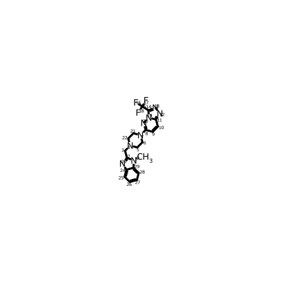 Cn1c(CN2CCN(c3ccc4nnc(C(F)(F)F)n4n3)CC2)nc2ccccc21